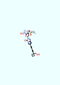 C[C@@](CCN1Cc2cc(C#CC#CC3(CO)CCC3)cn2C1=O)(C(=O)NO)S(C)(=O)=O